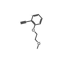 C#Cc1[c]cccc1OCCOC